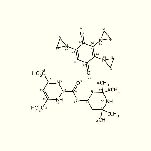 CC1(C)CC(OC(=O)N2N=C(C(=O)O)C=C(C(=O)O)N2)CC(C)(C)N1.O=C1C=C(N2CC2)C(=O)C(N2CC2)=C1N1CC1